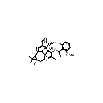 COc1cccc(OC)c1C(=O)O[C@H]1C(C)=C[C@]23C(O)[C@@H](C=C(CO)[C@@H](O)[C@]12O)[C@H]1[C@@H](C[C@H]3C)C1(C)C